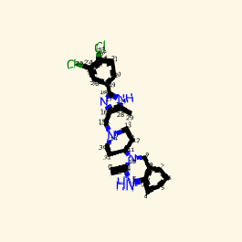 C=C1Nc2ccccc2CN1C1CCN(Cc2nc(-c3ccc(Cl)c(Cl)c3)[nH]c2C)CC1